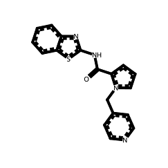 O=C(Nc1nc2ccccc2s1)c1cccn1Cc1ccncc1